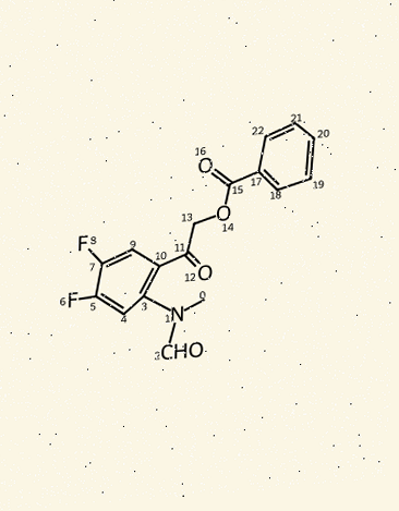 CN(C=O)c1cc(F)c(F)cc1C(=O)COC(=O)c1ccccc1